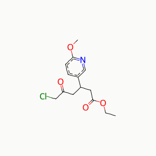 CCOC(=O)CC(CC(=O)CCl)c1ccc(OC)nc1